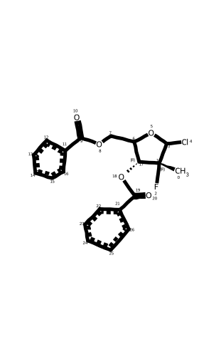 C[C@]1(F)C(Cl)OC(COC(=O)c2ccccc2)[C@H]1OC(=O)c1ccccc1